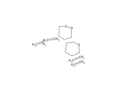 C1CCOCC1.C1CCOCC1.C=C.C=C.C=C.C=C